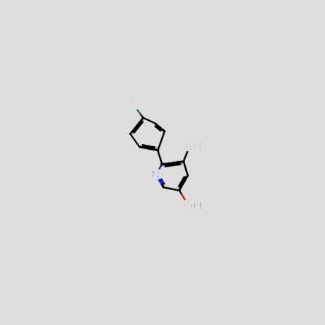 Cc1cc(O)cnc1-c1ccc(F)cc1